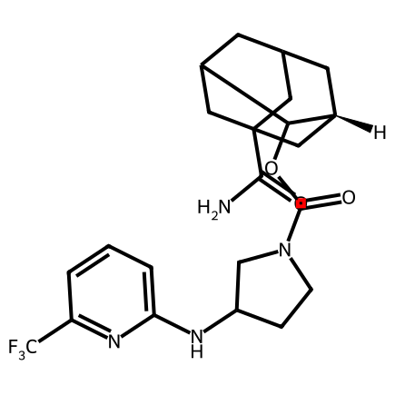 NC(=O)C12CC3CC(C1)C(OC(=O)N1CCC(Nc4cccc(C(F)(F)F)n4)C1)[C@H](C3)C2